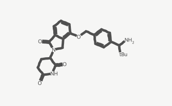 CC(C)(C)C(N)c1ccc(COc2cccc3c2CN(C2CCC(=O)NC2=O)C3=O)cc1